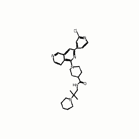 CC(C)(CNC(=O)C1CCN(c2nc(-c3ccnc(Cl)c3)cc3cnccc23)CC1)N1CCCCC1